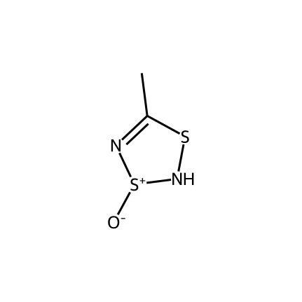 CC1=N[S+]([O-])NS1